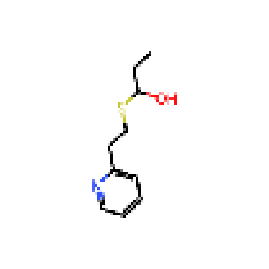 CCC(O)SCCc1ccccn1